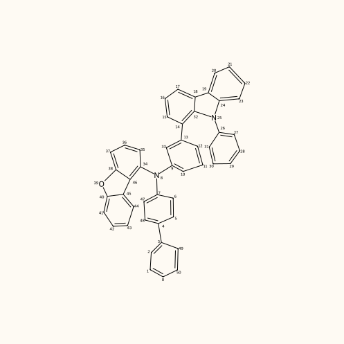 c1ccc(-c2ccc(N(c3cccc(-c4cccc5c6ccccc6n(-c6ccccc6)c45)c3)c3cccc4oc5ccccc5c34)cc2)cc1